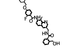 CCC(C)COc1ccc(C(=O)Nc2ccc3cc(CNC(=O)c4ccccc4CO)cnc3c2C)c(F)c1